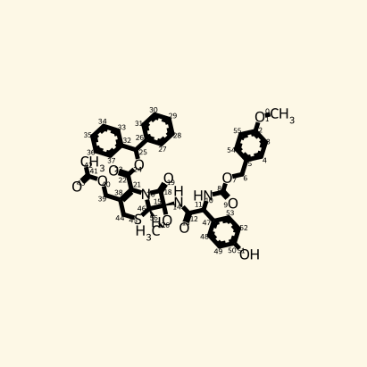 COc1ccc(COC(=O)NC(C(=O)N[C@]2(OC)C(=O)N3C(C(=O)OC(c4ccccc4)c4ccccc4)=C(COC(C)=O)CS[C@H]32)c2ccc(O)cc2)cc1